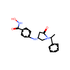 CC(c1ccccc1)N1CC(Nc2ccc(C(=O)NO)cc2)CC1=O